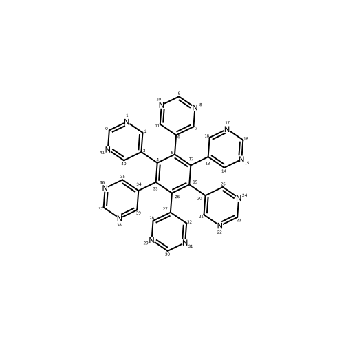 c1ncc(-c2c(-c3cncnc3)c(-c3cncnc3)c(-c3cncnc3)c(-c3cncnc3)c2-c2cncnc2)cn1